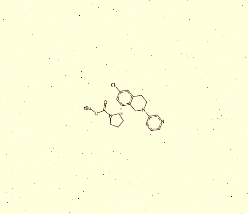 CC(C)(C)OC(=O)N1CCC[C@H]1c1cc(Cl)cc2c1CN(c1cccnc1)CC2